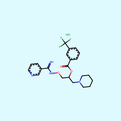 Cl.N=C(NOCC(CN1CCCCC1)OC(=O)c1cccc(C(F)(F)F)c1)c1cccnc1